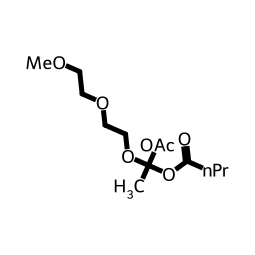 CCCC(=O)OC(C)(OCCOCCOC)OC(C)=O